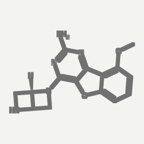 COc1cccc2oc3c(N4CC5NC[C@H]54)nc(N)nc3c12